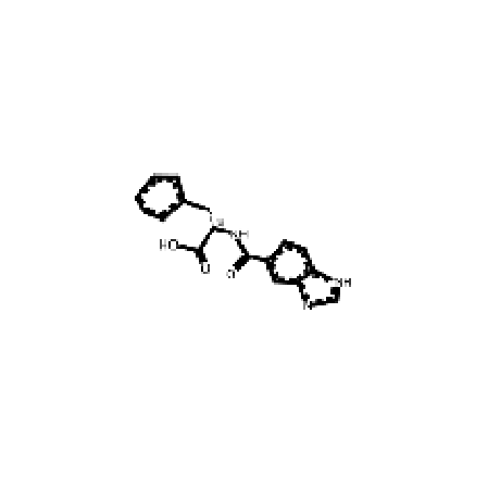 O=C(N[C@@H](Cc1ccccc1)C(=O)O)c1ccc2[nH]cnc2c1